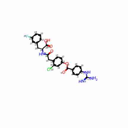 N=C(N)Nc1ccc(C(=O)Oc2ccc(CC(=O)N[C@@H](Cc3cccc(F)c3)C(=O)O)c(Cl)c2)cc1